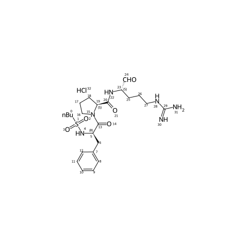 CCCCS(=O)(=O)N[C@H](Cc1ccccc1)C(=O)N1CCC[C@H]1C(=O)N[C@H](C=O)CCCNC(=N)N.Cl